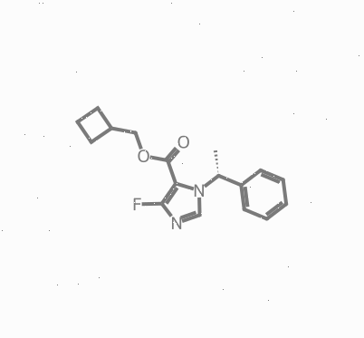 C[C@H](c1ccccc1)n1cnc(F)c1C(=O)OCC1CCC1